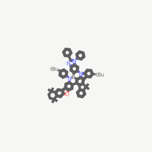 CC(C)(C)c1ccc(N2B3c4cc5nc(-c6ccccc6)n(-c6ccccc6)c5cc4-n4c5ccc(C(C)(C)C)cc5c5c6c(c(c3c54)-c3cc4oc5cc7c(cc5c4cc32)C(C)(C)CCC7(C)C)-c2ccccc2C6(C)C)cc1